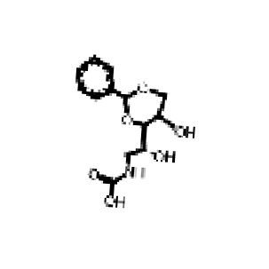 O=C(O)NC[C@@H](O)C1OC(c2ccccc2)OCC1O